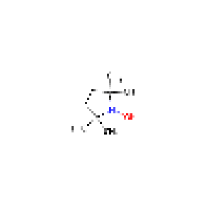 CC1(C)CCC(C)(C)N1O